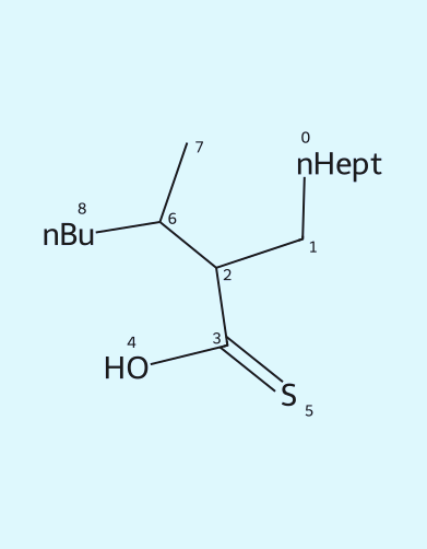 CCCCCCCCC(C(O)=S)C(C)CCCC